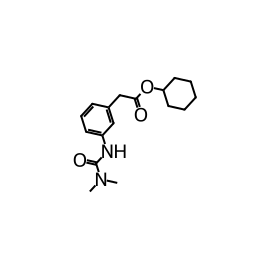 CN(C)C(=O)Nc1cccc(CC(=O)OC2CCCCC2)c1